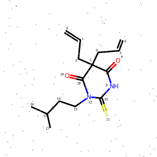 C=CCC1(CC=C)C(=O)NC(=S)N(CCC(C)C)C1=O